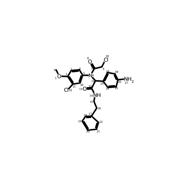 COc1ccc(N(C(=O)CCl)C(C(=O)NCCc2ccccc2)c2ccc(N)cc2)cc1Cl